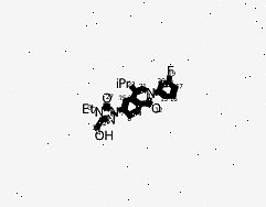 CCn1c(CO)nn(-c2ccc3c(=O)n(-c4cccc(F)c4)cc(C(C)C)c3c2)c1=O